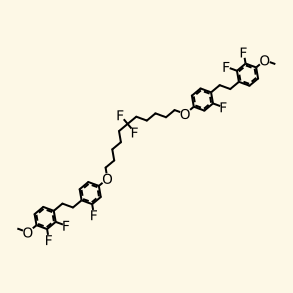 COc1ccc(CCc2ccc(OCCCCCC(F)(F)CCCCCOc3ccc(CCc4ccc(OC)c(F)c4F)c(F)c3)cc2F)c(F)c1F